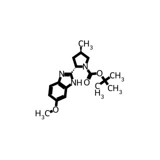 COc1ccc2nc([C@@H]3C[C@@H](C)CN3C(=O)OC(C)(C)C)[nH]c2c1